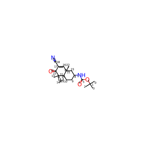 CC(C)(C)OC(=O)NC1CC[C@H]2C(C)(C)C(=O)C(C#N)=C[C@]2(C)C1